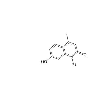 CCn1c(=O)cc(C)c2ccc(O)cc21